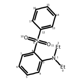 CCN(CC)c1ccccc1S(=O)(=O)c1ccccc1